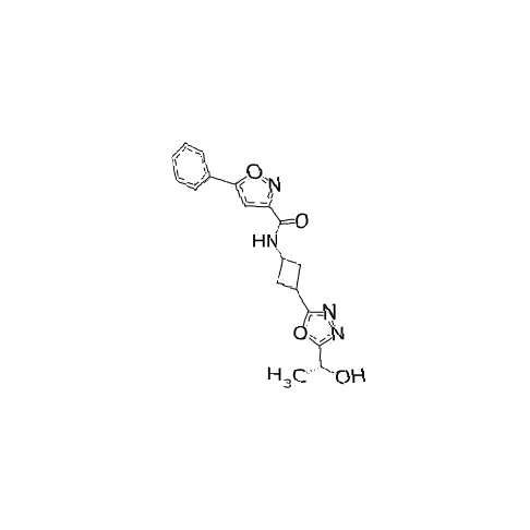 C[C@@H](O)c1nnc(C2CC(NC(=O)c3cc(-c4ccccc4)on3)C2)o1